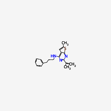 C=C(C)c1nc(NCCCc2ccccc2)c2cc(C)sc2n1